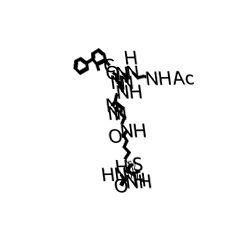 CC(=O)NCCNc1nc(NCc2cn(CCNC(=O)CCCC[C@@H]3SC[C@@H]4NC(=O)N[C@@H]43)nn2)nc(OCc2cccc(-c3ccccc3)c2C)n1